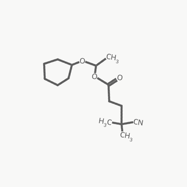 CC(OC(=O)CCC(C)(C)C#N)OC1CCCCC1